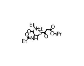 CCC(=O)NC(CSC(=O)CC(=O)OC(C)C)C(=O)N(CC)CC